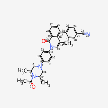 CC(=O)N1C(C)CN(c2ccc(-n3cc(C)c4c(-c5ccc(C#N)cc5)cccc4c3=O)cc2)CC1C